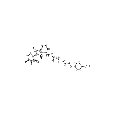 NC1CCN(CCOCCNC(=O)CNc2cccc3c2C(=O)N(C2CCC(=O)NC2=O)C3=O)CC1